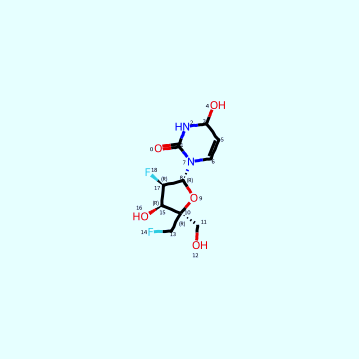 O=C1NC(O)C=CN1[C@@H]1O[C@@](CO)(CF)[C@@H](O)[C@H]1F